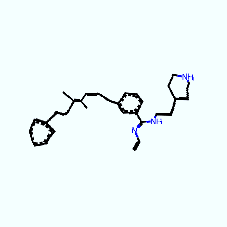 C=C/N=C(\NCCC1CCNCC1)c1cccc(C/C=C\C(C)=C(/C)CCc2ccccc2)c1